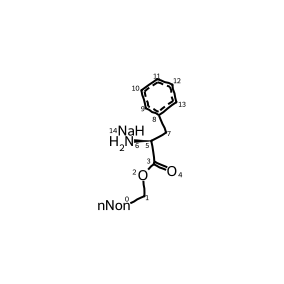 CCCCCCCCCCOC(=O)[C@@H](N)Cc1ccccc1.[NaH]